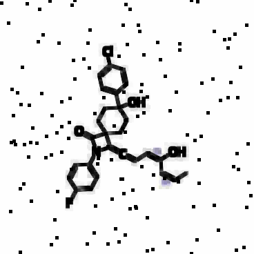 C/C=C\C(O)=C/C=C=C1N(c2ccc(F)cc2)C(=O)C12CCC(O)(c1ccc(Cl)cc1)CC2